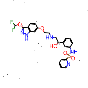 O=S(=O)(Nc1cccc([C@@H](O)CNCCOc2ccc3c(OC(F)F)n[nH]c3c2)c1)c1ccccn1